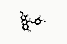 CCN1Cc2nc3ccc(Cl)cc3c(NCc3ccc(OC)c(Cl)c3)c2C1=O